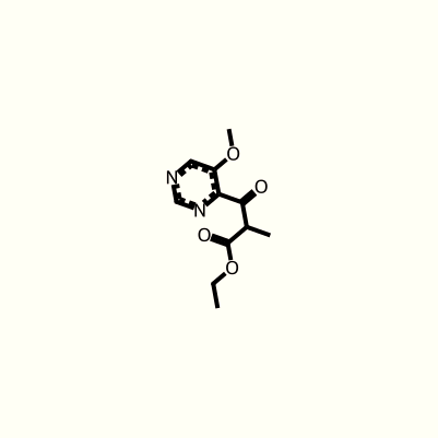 CCOC(=O)C(C)C(=O)c1ncncc1OC